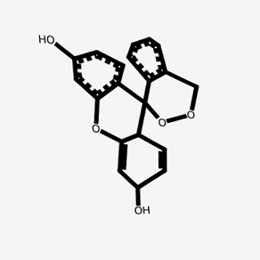 Oc1ccc2c(c1)OC1=CC(O)C=CC1C21OOCc2ccccc21